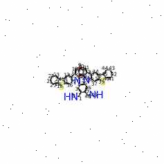 N=Cc1cc(-n2c3ccccc3c3cc4c(cc32)sc2ccccc24)c(-n2c3ccccc3c3cc4c(cc32)sc2ccccc24)cc1C=N